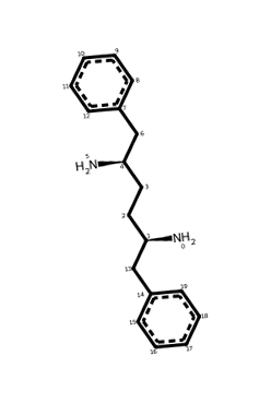 N[C@H](CC[C@@H](N)Cc1ccccc1)Cc1ccccc1